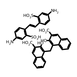 Nc1ccc(C=Cc2ccc(N)cc2S(=O)(=O)O)c(S(=O)(=O)O)c1.O=C(O)c1cc2ccccc2c(Cc2c(O)c(C(=O)O)cc3ccccc23)c1O